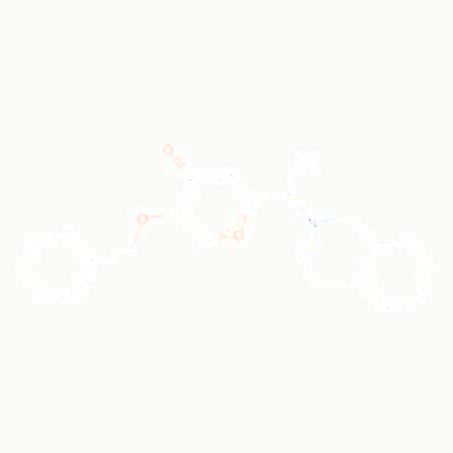 O=c1cc(C(N2CCc3ccccc3C2)C(F)(F)F)occ1OCc1ccccc1